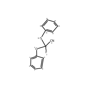 N#CC(F)(Oc1ccccc1)Sc1ccccc1